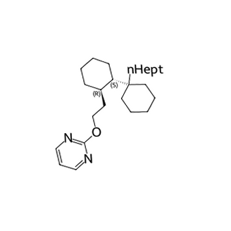 CCCCCCCC1([C@H]2CCCC[C@@H]2CCOc2ncccn2)CCCCC1